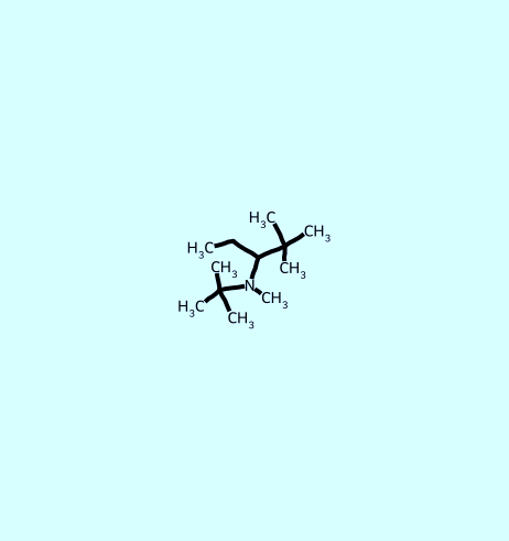 CCC(N(C)C(C)(C)C)C(C)(C)C